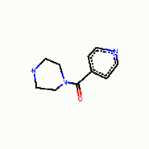 O=C(c1ccncc1)N1CC[N]CC1